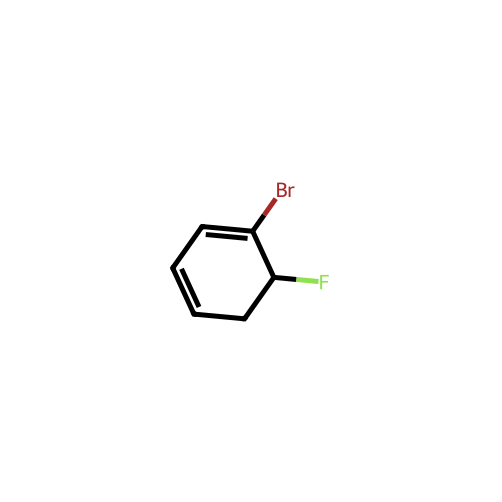 FC1CC=CC=C1Br